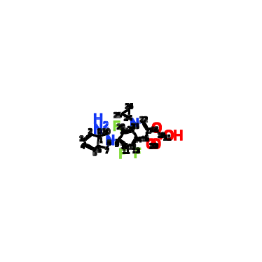 NC12C=CC=CC1CN(c1c(F)c(F)c3c(=O)c(OC(=O)O)cn(C4CC4)c3c1F)C2